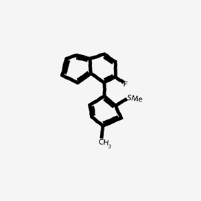 CSc1cc(C)ccc1-c1c(F)ccc2ccccc12